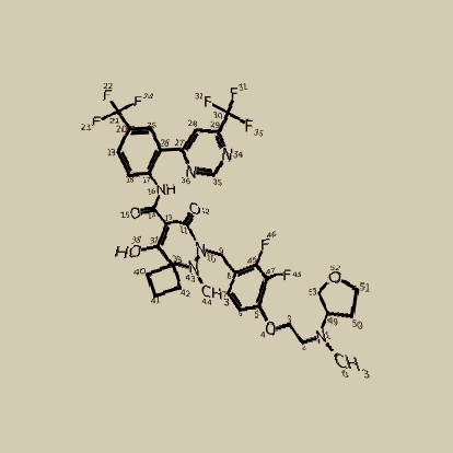 CN(CCOc1ccc(CN2C(=O)C(C(=O)Nc3ccc(C(F)(F)F)cc3-c3cc(C(F)(F)F)ncn3)=C(O)C3(CCC3)N2C)c(F)c1F)C1CCOC1